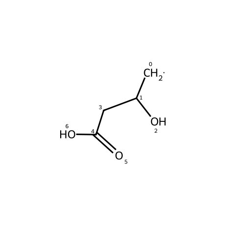 [CH2]C(O)CC(=O)O